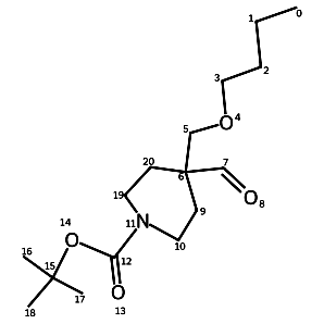 CCCCOCC1(C=O)CCN(C(=O)OC(C)(C)C)CC1